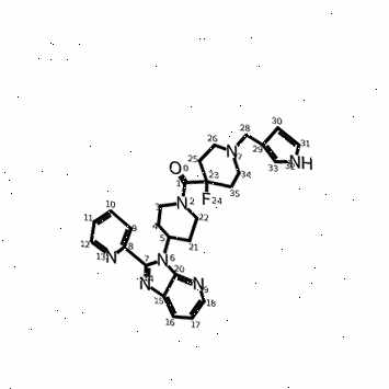 O=C(N1CCC(n2c(-c3ccccn3)nc3cccnc32)CC1)C1(F)CCN(Cc2cc[nH]c2)CC1